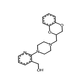 OCc1cccnc1N1CCN(CC2COc3ccccc3O2)CC1